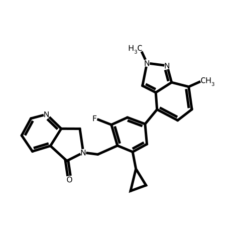 Cc1ccc(-c2cc(F)c(CN3Cc4ncccc4C3=O)c(C3CC3)c2)c2cn(C)nc12